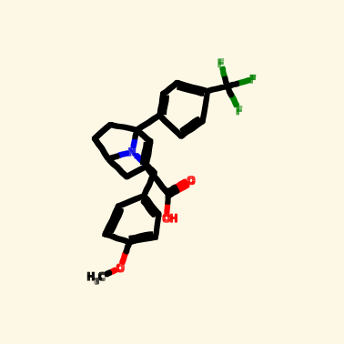 COc1ccc(CN2C3CCC2(c2ccc(C(F)(F)F)cc2)C=C(C(=O)O)C3)cc1